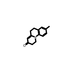 Cc1ccc2c(c1)CCC1=CC(=O)CCN12